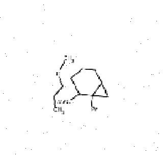 CCCOC.COC1CCCC2CC21C(C)C